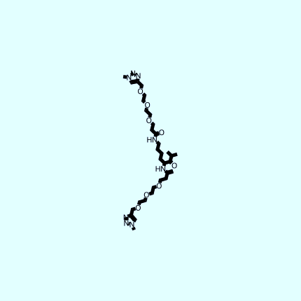 C=C(CCOCCOCCOCc1cn(C)nn1)NC(CCCCNC(=O)CCOCCOCCOCc1cn(C)nn1)C(=O)C(C)C